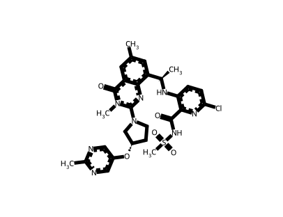 Cc1cc([C@@H](C)Nc2ccc(Cl)nc2C(=O)NS(C)(=O)=O)c2nc(N3CC[C@H](Oc4cnc(C)nc4)C3)n(C)c(=O)c2c1